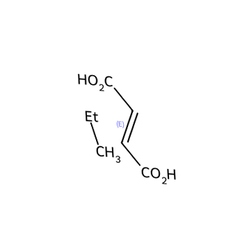 CCC.O=C(O)/C=C/C(=O)O